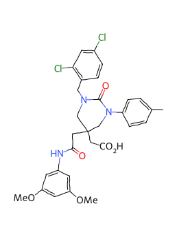 COc1cc(NC(=O)CC2(CC(=O)O)CN(Cc3ccc(Cl)cc3Cl)C(=O)N(c3ccc(C)cc3)C2)cc(OC)c1